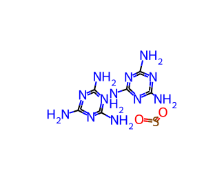 Nc1nc(N)nc(N)n1.Nc1nc(N)nc(N)n1.O=S=O